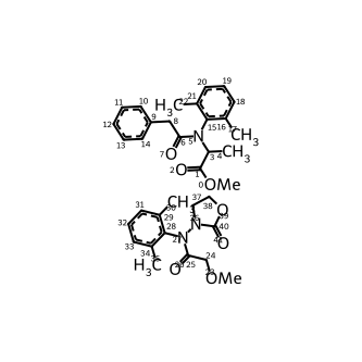 COC(=O)C(C)N(C(=O)Cc1ccccc1)c1c(C)cccc1C.COCC(=O)N(c1c(C)cccc1C)N1CCOC1=O